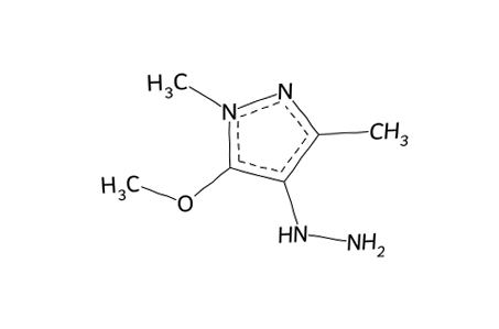 COc1c(NN)c(C)nn1C